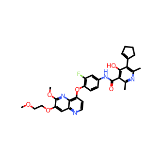 COCCOc1cc2nccc(Oc3ccc(NC(=O)c4c(C)nc(C)c(C5=CCCC5)c4O)cc3F)c2nc1OC